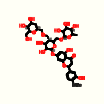 COc1ccc(C2CC(=O)c3c(O)cc(O[C@@H]4OC(CO[C@@H]5OC(C)[C@H](O)C(O)C5O)[C@@H](COC[C@@H]5CC(O)[C@H](O)C(CO)O5)C(O)C4O)cc3O2)cc1O